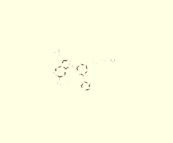 COCCOc1cc(-c2ccoc2)nc(-n2nc(C3CC3)c3cnc(NC(C)=O)cc32)c1